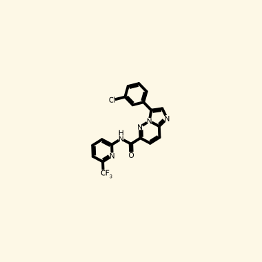 O=C(Nc1cccc(C(F)(F)F)n1)c1ccc2ncc(-c3cccc(Cl)c3)n2n1